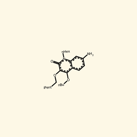 CCCCCCn1c(=O)c(OCC(C)CCC)c(OCCCC)c2ccc(N)cc21